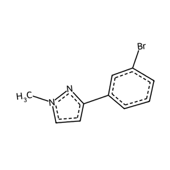 Cn1ccc(-c2cccc(Br)c2)n1